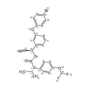 CC(C)[C@H](C(=O)O[C@@H](C#N)c1cccc(Oc2ccc(Br)cc2)c1)c1ccc(OC(F)F)cc1